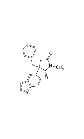 CN1C(=O)CC(Cc2ccccc2)(c2ccc3sccc3c2)C1=O